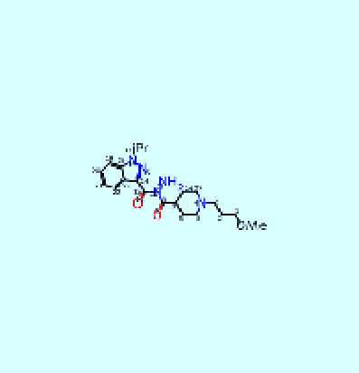 COCCCN1CCC(C(=O)N(N)C(=O)c2nn(C(C)C)c3ccccc23)CC1